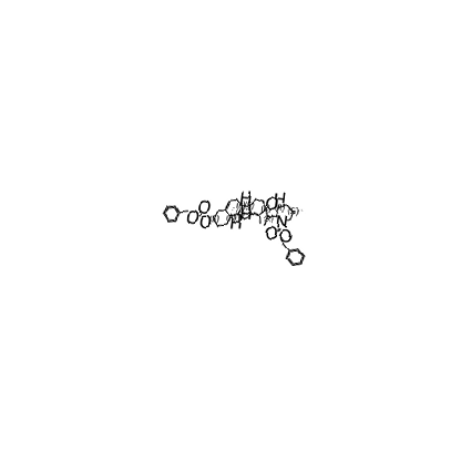 CC1=C2C[C@H]3[C@@H](CC=C4C[C@@H](OC(=O)OCc5ccccc5)CC[C@@]43C)[C@@H]2CC[C@]12O[C@@H]1C[C@H](C)CN(C(=O)OCc3ccccc3)C1[C@H]2C